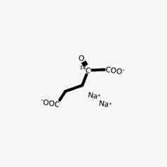 O=C([O-])CC[14C](=O)C(=O)[O-].[Na+].[Na+]